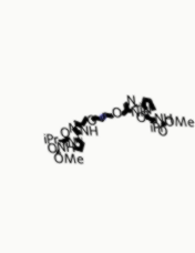 COC(=O)N[C@H](C(=O)N1CCC[C@H]1c1ncc(COC/C=C/COCc2cnc([C@@H]3CCCN3C(=O)[C@@H](NC(=O)OC)C(C)C)[nH]2)[nH]1)C(C)C